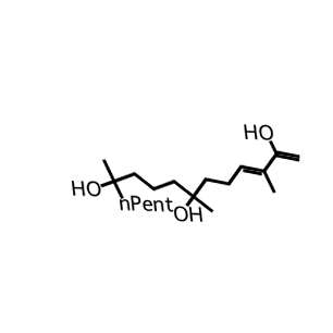 C=C(O)/C(C)=C/CCC(C)(O)CCCC(C)(O)CCCCC